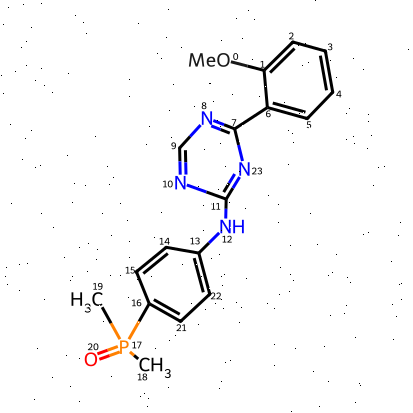 COc1ccccc1-c1ncnc(Nc2ccc(P(C)(C)=O)cc2)n1